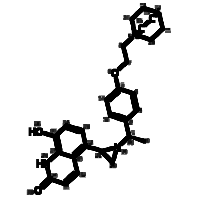 C[C@H](c1ccc(OCC[N+]23CCC(CC2)CC3)cc1)N1CC1c1ccc(O)c2[nH]c(=O)ccc12